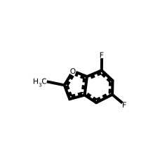 Cc1cc2cc(F)cc(F)c2o1